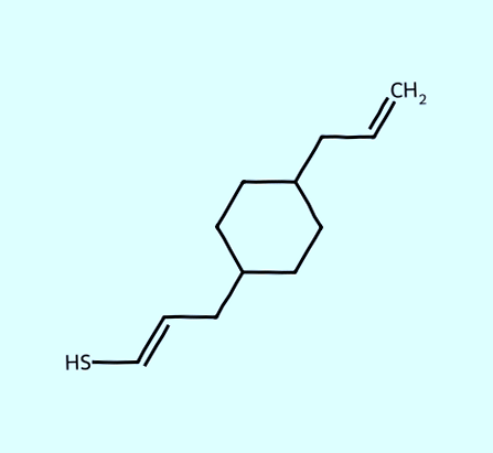 C=CCC1CCC(CC=CS)CC1